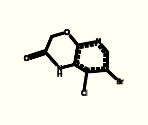 O=C1COc2ncc(Br)c(Cl)c2N1